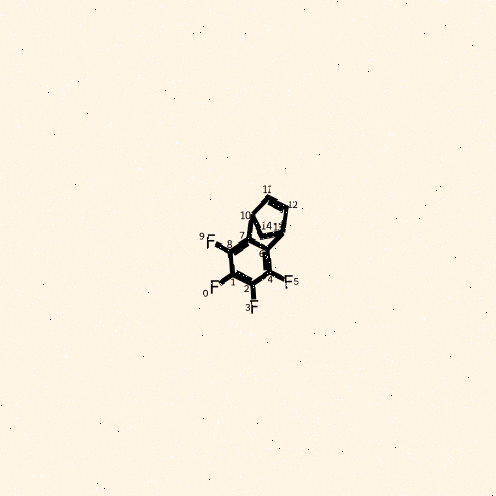 Fc1c(F)c(F)c2c(c1F)C1C=CC2C1